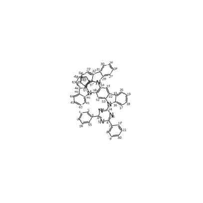 c1ccc(-c2nc(-c3ccccc3)nc(-n3c4ccccc4c4cc(-n5c6ccccc6c6ccccc65)c(-n5c6ccccc6c6ccccc65)cc43)n2)cc1